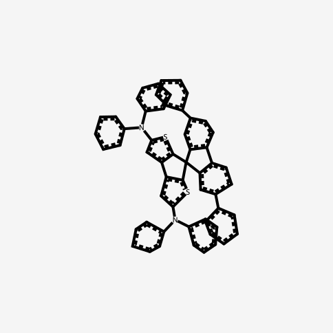 c1ccc(-c2ccc3c(c2)C2(c4cc(-c5ccccc5)ccc4-3)c3sc(N(c4ccccc4)c4ccccc4)cc3-c3cc(N(c4ccccc4)c4ccccc4)sc32)cc1